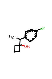 O=C(O)C(c1ccc(F)cc1)C1(O)CCC1